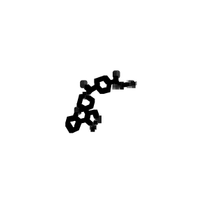 CC(C)NC(=O)c1ccc(C(=O)N2CCC3(CC2)Oc2ccccc2-c2c3cnn2C)cc1